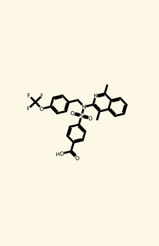 Cc1nc(N(Cc2ccc(OC(F)(F)F)cc2)S(=O)(=O)c2ccc(C(=O)O)cc2)c(C)c2ccccc12